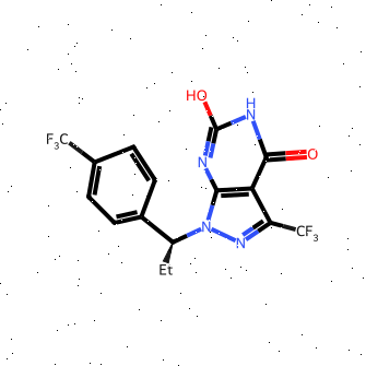 CC[C@@H](c1ccc(C(F)(F)F)cc1)n1nc(C(F)(F)F)c2c(=O)[nH]c(O)nc21